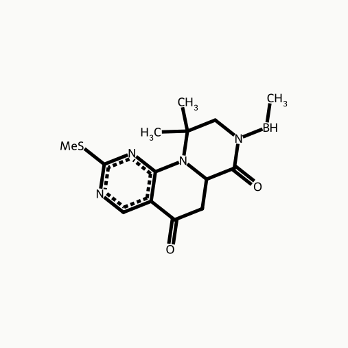 CBN1CC(C)(C)N2c3nc(SC)ncc3C(=O)CC2C1=O